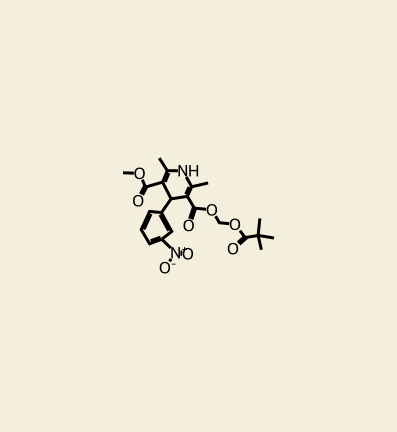 COC(=O)C1=C(C)NC(C)=C(C(=O)OCOC(=O)C(C)(C)C)C1c1cccc([N+](=O)[O-])c1